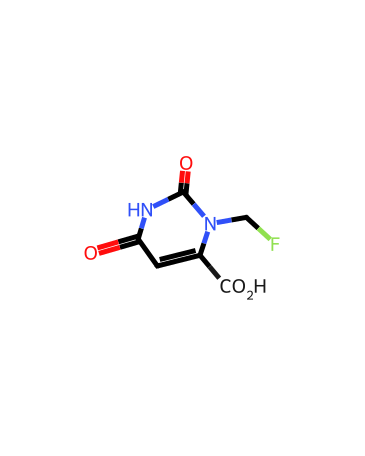 O=C(O)c1cc(=O)[nH]c(=O)n1CF